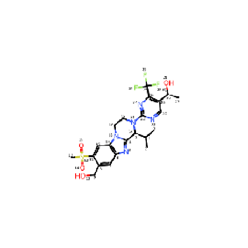 CC(C)[C@H]1c2nc3cc(CO)c(S(C)(=O)=O)cc3n2CCN1c1ncc([C@H](C)O)c(C(F)(F)F)n1